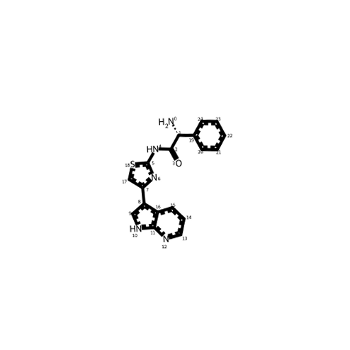 N[C@@H](C(=O)Nc1nc(-c2c[nH]c3ncccc23)cs1)c1ccccc1